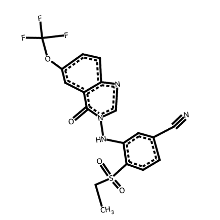 CCS(=O)(=O)c1ccc(C#N)cc1Nn1cnc2ccc(OC(F)(F)F)cc2c1=O